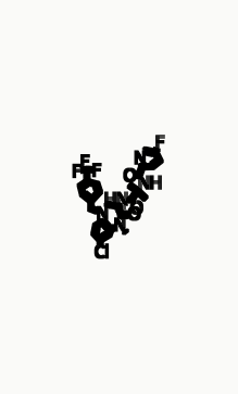 CN1C(=O)[C@H](NC(=O)C(C)(C)NC(=O)c2ccc(F)cn2)CN(Cc2ccc(C(F)(F)F)cc2)c2ccc(Cl)cc21